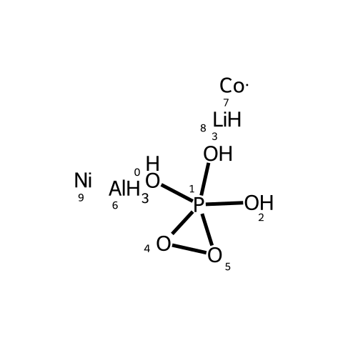 OP1(O)(O)OO1.[AlH3].[Co].[LiH].[Ni]